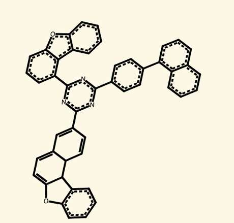 C1=CC2C(=CC=C3Oc4ccccc4C32)C=C1c1nc(-c2ccc(-c3cccc4ccccc34)cc2)nc(-c2cccc3oc4ccccc4c23)n1